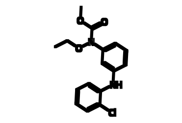 CCON(C(=O)OC)c1cccc(Nc2ccccc2Cl)c1